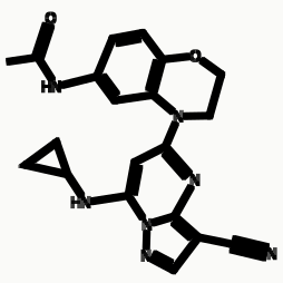 CC(=O)Nc1ccc2c(c1)N(c1cc(NC3CC3)n3ncc(C#N)c3n1)CCO2